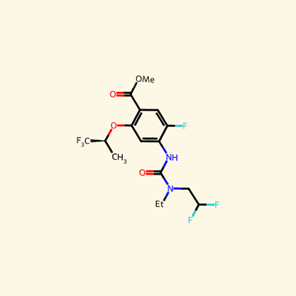 CCN(CC(F)F)C(=O)Nc1cc(O[C@@H](C)C(F)(F)F)c(C(=O)OC)cc1F